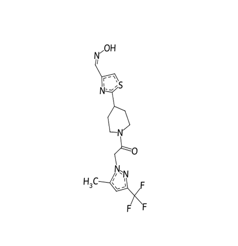 Cc1cc(C(F)(F)F)nn1CC(=O)N1CCC(c2nc(/C=N\O)cs2)CC1